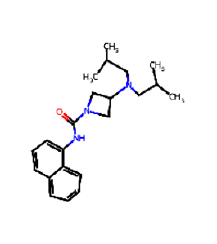 CC(C)CN(CC(C)C)C1CN(C(=O)Nc2cccc3ccccc23)C1